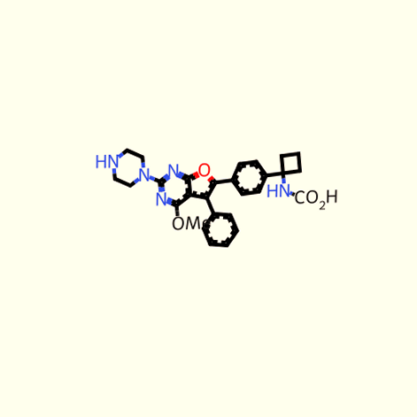 COc1nc(N2CCNCC2)nc2oc(-c3ccc(C4(NC(=O)O)CCC4)cc3)c(-c3ccccc3)c12